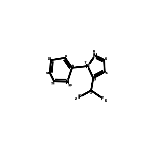 FC(F)c1ccnn1-c1ccccn1